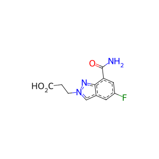 NC(=O)c1cc(F)cc2cn(CCC(=O)O)nc12